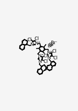 Cc1c(C[n+]2cn(Cc3cccc4ccccc34)c(Cl)c2Cl)c(C)c(C[n+]2cn(Cc3cccc4ccccc34)c(Cl)c2Cl)c(C)c1C[n+]1cn(Cc2cccc3ccccc23)c(Cl)c1Cl.[Br-].[Br-].[Br-]